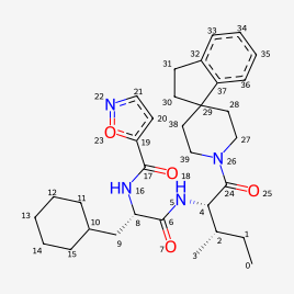 CC[C@H](C)[C@H](NC(=O)[C@H](CC1CCCCC1)NC(=O)c1ccno1)C(=O)N1CCC2(CCc3ccccc32)CC1